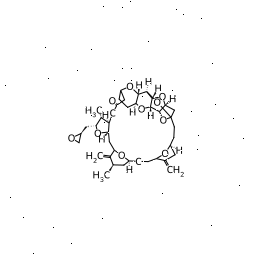 C=C1C[C@@H]2CCC34C[C@H]5O[C@H]6[C@@H](O3)[C@H]3OC(CC[C@@H]3O[C@H]6C5O4)CC(=O)C[C@@H]3[C@@H](C)[C@@H](C[C@H]4CO4)O[C@H]3CC3O[C@@H](CCC1O2)C[C@@H](C)C3=C